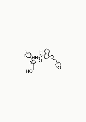 Cc1ccc(-n2nc(C(C)(C)CO)cc2NC(=O)Nc2ccc(OCCN3CCOCC3)c3ccccc23)cn1